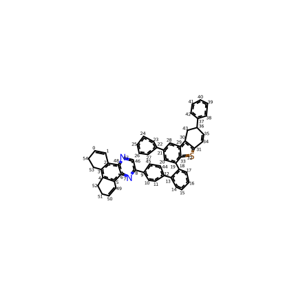 C1=Cc2c(c3c(c4nc(-c5ccc(-c6ccccc6-c6cc(-c7ccccc7)cc7c8c(sc67)C=CC(c6ccccc6)C8)cc5)cnc24)C=CCC3)CC1